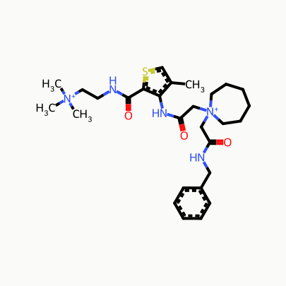 Cc1csc(C(=O)NCC[N+](C)(C)C)c1NC(=O)C[N+]1(CC(=O)NCc2ccccc2)CCCCCC1